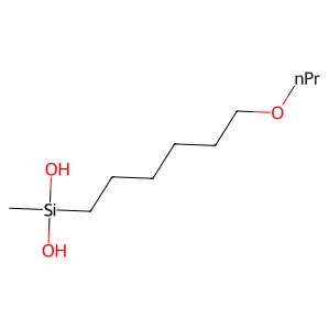 CCCOCCCCCC[Si](C)(O)O